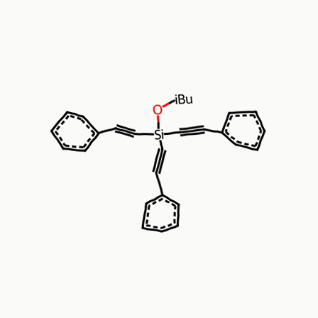 CCC(C)O[Si](C#Cc1ccccc1)(C#Cc1ccccc1)C#Cc1ccccc1